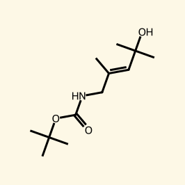 C/C(=C\C(C)(C)O)CNC(=O)OC(C)(C)C